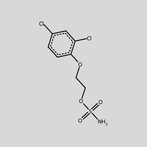 NS(=O)(=O)OCCOc1ccc(Cl)cc1Cl